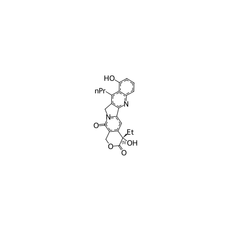 CCCc1c2c(nc3cccc(O)c13)-c1cc3c(c(=O)n1C2)COC(=O)[C@]3(O)CC